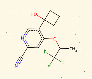 CC(Oc1cc(C#N)ncc1C1(O)CCC1)C(F)(F)F